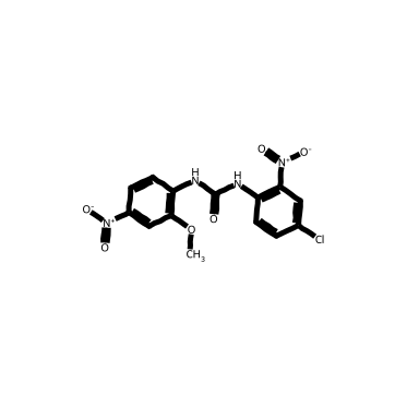 COc1cc([N+](=O)[O-])ccc1NC(=O)Nc1ccc(Cl)cc1[N+](=O)[O-]